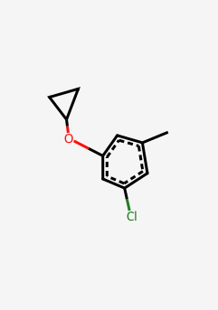 Cc1cc(Cl)cc(OC2CC2)c1